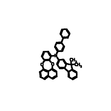 CC1(C)c2ccccc2-c2ccc(N(c3ccc(-c4ccccc4)cc3)c3cccc4c3Oc3cccc5cccc(c35)O4)cc21